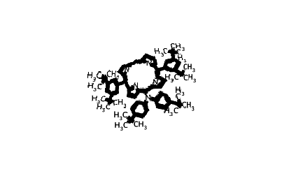 CC(C)(C)c1ccc(N(C2=C3C=CC(=N3)C(c3cc(C(C)(C)C)cc(C(C)(C)C)c3)=C3C=CC(=N3)C=C3C=CC(=N3)C(c3cc(C(C)(C)C)cc(C(C)(C)C)c3)=C3C=CC2=N3)c2ccc(C(C)(C)C)cc2)cc1